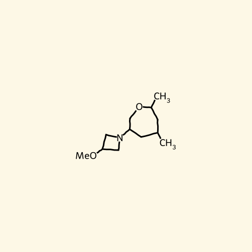 COC1CN(C2COC(C)CC(C)C2)C1